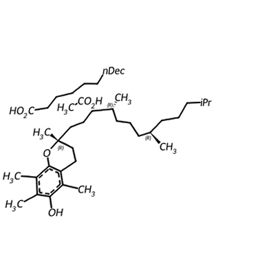 CC(=O)O.CCCCCCCCCCCCCCCC(=O)O.Cc1c(C)c2c(c(C)c1O)CC[C@@](C)(CCC[C@H](C)CCC[C@H](C)CCCC(C)C)O2